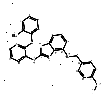 CC(C)(C)c1ccccc1Oc1ncccc1Nc1nc2c(NCc3ccc(OC(F)(F)F)cc3)cccc2o1